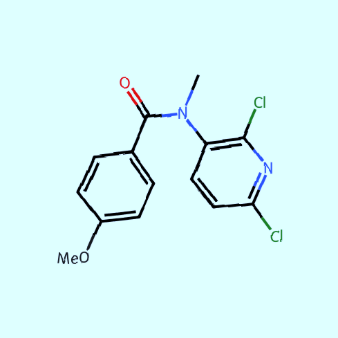 COc1ccc(C(=O)N(C)c2ccc(Cl)nc2Cl)cc1